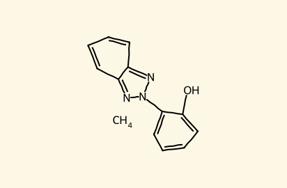 C.Oc1ccccc1-n1nc2ccccc2n1